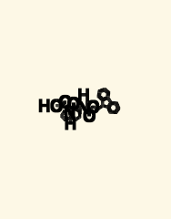 O=C(N[C@@H]1CC[C@@H]2CC[C@H](C(=O)O)N2C1=O)OCC1c2ccccc2-c2ccccc21